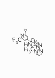 CC(NC(=O)c1cc(C2CC2)nc(C(F)(F)F)c1)c1ncnn1-c1ncccn1